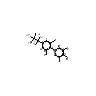 Cc1cc(-c2c(C)cc(C(C)(C)C(F)(F)F)cc2C)cc(C)c1C